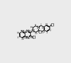 Clc1ccc(Cl)c(CN2CCN(c3nc4ncccc4nc3Cl)CC2)c1